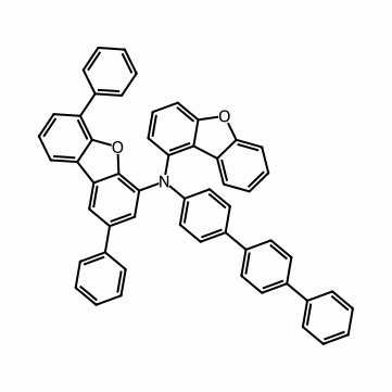 c1ccc(-c2ccc(-c3ccc(N(c4cc(-c5ccccc5)cc5c4oc4c(-c6ccccc6)cccc45)c4cccc5oc6ccccc6c45)cc3)cc2)cc1